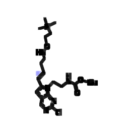 CC(C)(C)OC(=O)NCCn1c(/C=C/CCNOCC[Si](C)(C)C)cc2cnc(Cl)nc21